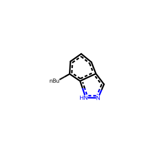 CCCCc1cccc2cn[nH]c12